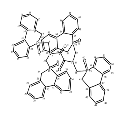 O=C(C(=O)N(CP1(=O)Cc2ccccc2-c2ccccc21)CP1(=O)Cc2ccccc2-c2ccccc21)N(CP1(=O)Cc2ccccc2-c2ccccc21)CP1(=O)Cc2ccccc2-c2ccccc21